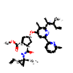 C=C/C(OC)=C(/C)c1nc(-c2cccc(C)n2)cc(O[C@@H]2C[C@@H](C(=O)NC3(C(=O)OCC)C[C@H]3C=C)[C@H](C(=O)OC(C)(C)C)C2)c1C